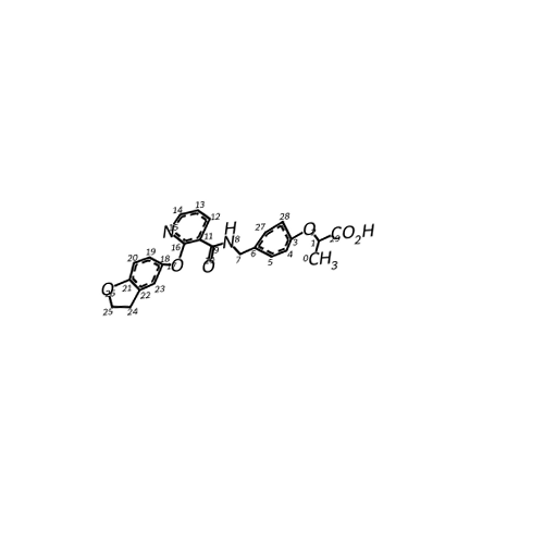 CC(Oc1ccc(CNC(=O)c2cccnc2Oc2ccc3c(c2)CCO3)cc1)C(=O)O